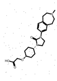 CN1CCc2ccc(N3CCN([C@H]4CC[C@H](OCC(=O)O)CC4)C3=O)cc2CC1